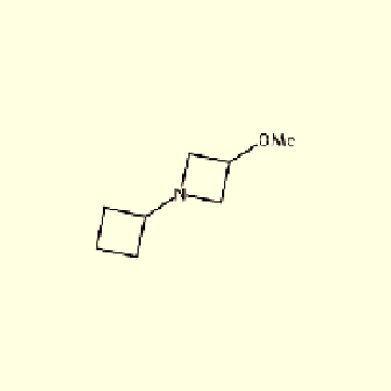 COC1CN(C2CCC2)C1